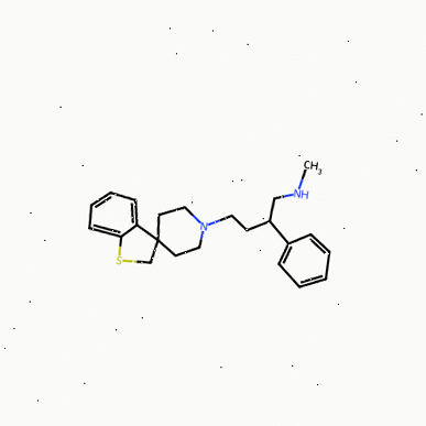 CNCC(CCN1CCC2(CC1)CSc1ccccc12)c1ccccc1